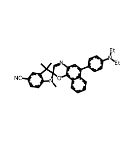 CCN(CC)c1ccc(-c2cc3c(c4ccccc24)OC2(C=N3)N(C)c3ccc(C#N)cc3C2(C)C)cc1